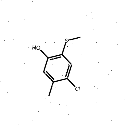 CSc1cc(Cl)c(C)cc1O